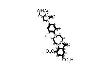 CC(=O)NC[C@H]1CN(c2cc(F)c(N3CCn4c(=O)c5cc(C(=O)O)cc(C(=O)O)c5n4CC3)c(F)c2)C(=O)O1